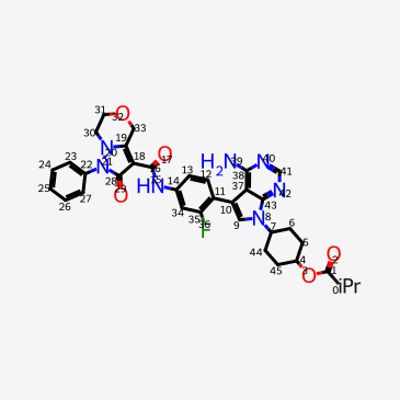 CC(C)C(=O)OC1CCC(n2cc(-c3ccc(NC(=O)c4c5n(n(-c6ccccc6)c4=O)CCOC5)cc3F)c3c(N)ncnc32)CC1